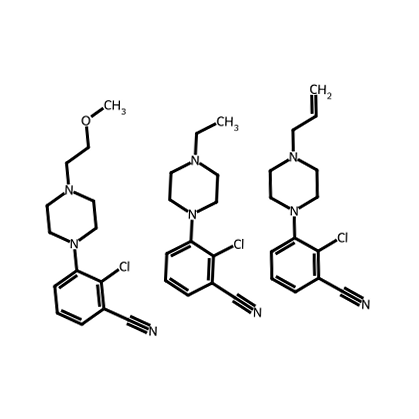 C=CCN1CCN(c2cccc(C#N)c2Cl)CC1.CCN1CCN(c2cccc(C#N)c2Cl)CC1.COCCN1CCN(c2cccc(C#N)c2Cl)CC1